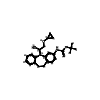 CC(C)(C)OC(=O)Nc1ccc2c(c1)N(C(O)COC1CC1)c1ccccc1CC2